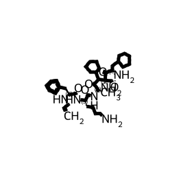 C=CCN[C@@H](Cc1ccccc1)C(=O)N[C@@H](CCCCN)C(=O)N[C@@H](C)C(=O)C(C1CCCCC1)[C@](N)([C]=O)C(=O)[C@H](N)CC1CCCCC1